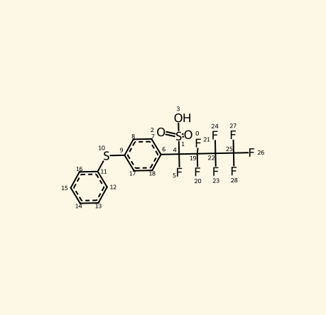 O=S(=O)(O)C(F)(c1ccc(Sc2ccccc2)cc1)C(F)(F)C(F)(F)C(F)(F)F